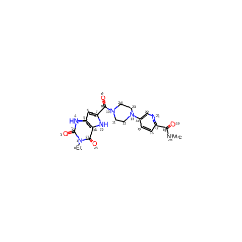 CCn1c(=O)[nH]c2cc(C(=O)N3CCN(c4ccc(C(=O)NC)nc4)CC3)[nH]c2c1=O